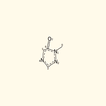 Cn1ncncc1=O